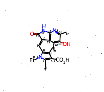 CCn1c(C)c(C(=O)O)c(C)c1C=C1C(=O)Nc2nc(C)c(O)c(C)c21